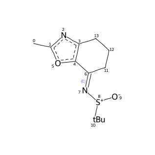 Cc1nc2c(o1)/C(=N/[S+]([O-])C(C)(C)C)CCC2